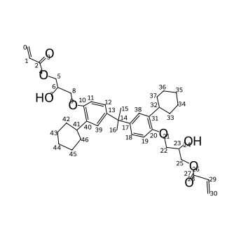 C=CC(=O)OCC(O)COc1ccc(C(C)(C)c2ccc(OCC(O)COC(=O)C=C)c(C3CCCCC3)c2)cc1C1CCCCC1